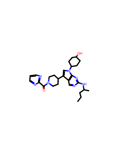 CCCC(C)Nc1ncc2c(C3CCN(C(=O)c4ncccn4)CC3)cn(C3CCC(O)CC3)c2n1